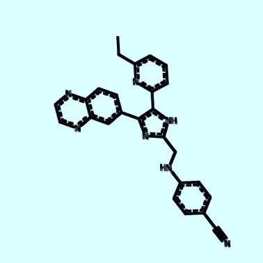 CCc1cccc(-c2[nH]c(CNc3ccc(C#N)cc3)nc2-c2ccc3nccnc3c2)n1